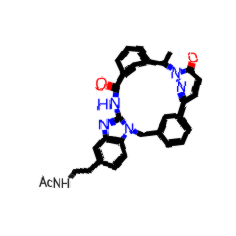 CC(=O)NCCc1ccc2c(c1)nc1n2Cc2cccc(c2)-c2ccc(=O)n(n2)C(C)c2cccc(c2)C(=O)N1